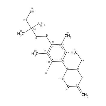 C=C1CC(CC)C(c2cc(C)c(CCC(C)(C)CS)c(C)c2F)SS1